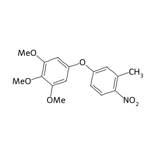 COc1cc(Oc2ccc([N+](=O)[O-])c(C)c2)cc(OC)c1OC